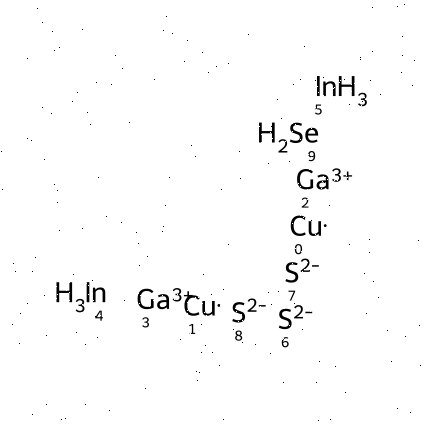 [Cu].[Cu].[Ga+3].[Ga+3].[InH3].[InH3].[S-2].[S-2].[S-2].[SeH2]